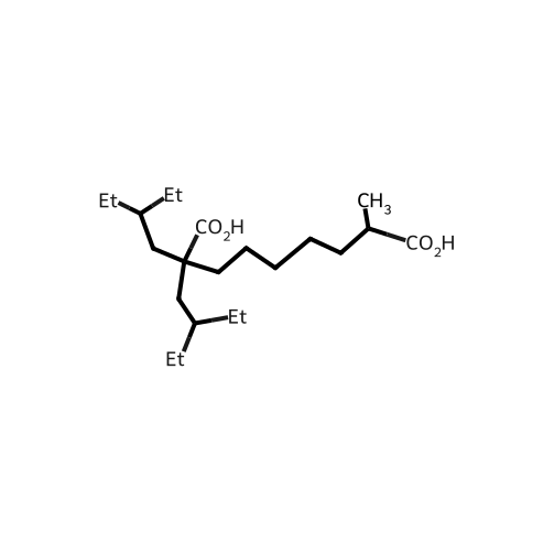 CCC(CC)CC(CCCCCC(C)C(=O)O)(CC(CC)CC)C(=O)O